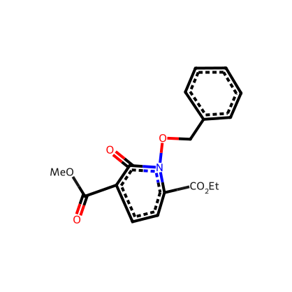 CCOC(=O)c1ccc(C(=O)OC)c(=O)n1OCc1ccccc1